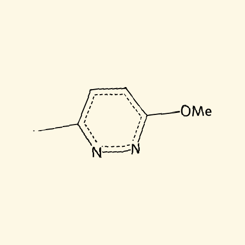 [CH2]c1ccc(OC)nn1